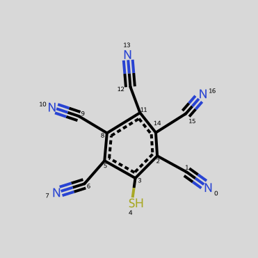 N#Cc1c(S)c(C#N)c(C#N)c(C#N)c1C#N